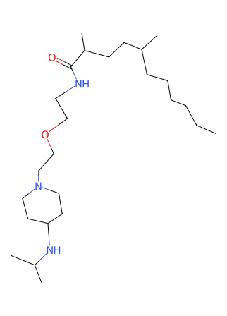 CCCCCCC(C)CCC(C)C(=O)NCCOCCN1CCC(NC(C)C)CC1